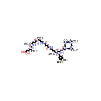 CC(C)(C)[Si](F)(c1ccc(C(=O)N[C@@H](CNC(=O)CN2CCN(CC(=O)O)CCN(CC(=O)O)CCN(CC(=O)O)CC2)C(=O)N[C@H](CCCCNC(=O)CCC(=O)NCCC[C@@H](NC(=O)CC[C@H](NC(=O)N[C@@H](CCCC(O)O)C(=O)O)C(=O)O)C(=O)O)C(=O)O)cc1)C(C)(C)C